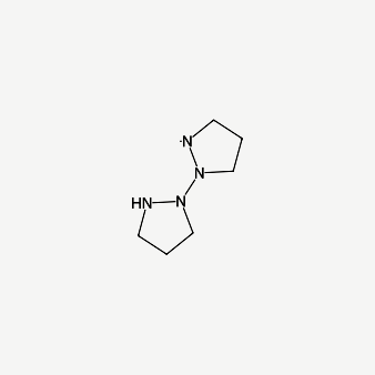 C1C[N]N(N2CCCN2)C1